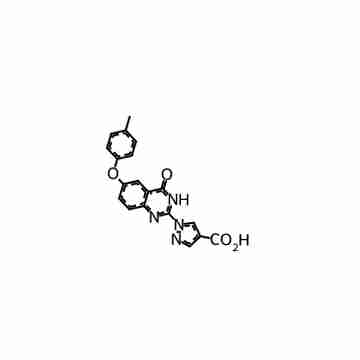 Cc1ccc(Oc2ccc3nc(-n4cc(C(=O)O)cn4)[nH]c(=O)c3c2)cc1